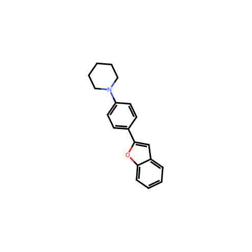 c1ccc2oc(-c3ccc(N4CCCCC4)cc3)cc2c1